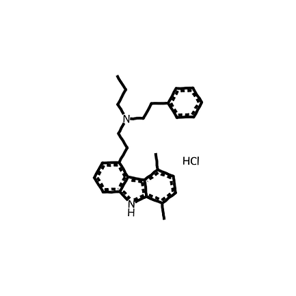 CCCN(CCc1ccccc1)CCc1cccc2[nH]c3c(C)ccc(C)c3c12.Cl